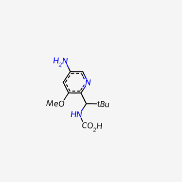 COc1cc(N)cnc1C(NC(=O)O)C(C)(C)C